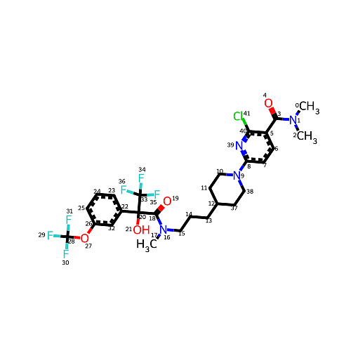 CN(C)C(=O)c1ccc(N2CCC(CCCN(C)C(=O)C(O)(c3cccc(OC(F)(F)F)c3)C(F)(F)F)CC2)nc1Cl